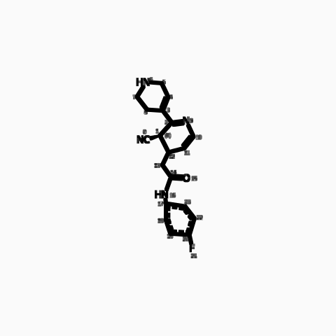 N#C[C@H]1C(C2=CCNCC2)=NC=CC1CC(=O)Nc1ccc(F)cc1